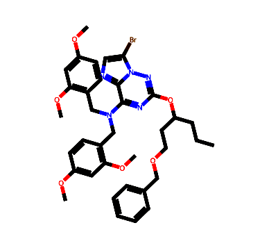 CCCC(CCOCc1ccccc1)Oc1nc(N(Cc2ccc(OC)cc2OC)Cc2ccc(OC)cc2OC)c2ncc(Br)n2n1